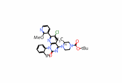 COc1ncccc1-c1nc2c(cc1Cl)c(N1CCN(C(=O)OC(C)(C)C)C[C@@H]1C)nc(=O)n2-c1ccccc1C(C)C